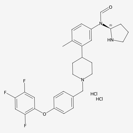 Cc1ccc(N(C=O)[C@H]2CCCN2)cc1C1CCN(Cc2ccc(Oc3cc(F)c(F)cc3F)cc2)CC1.Cl.Cl